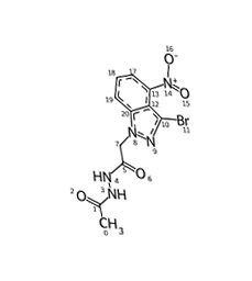 CC(=O)NNC(=O)Cn1nc(Br)c2c([N+](=O)[O-])cccc21